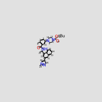 Cc1ccc(N2CCN(C(=O)OC(C)(C)C)CC2)cc1C(=O)NC(C)c1cc(-c2cnn(C)c2)cc2ccccc12